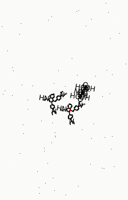 CCNc1cc(-c2ccc(N(CC)CC)cc2)c(C=C2C=CC(=[N+](CC)CC)C=C2)c2ccccc12.CCNc1cc(-c2ccc(N(CC)CC)cc2)c(C=C2C=CC(=[N+](CC)CC)C=C2)c2ccccc12.O=P(O)(O)O.[O]=[Mo](=[O])([O-])[O-].[O]=[W](=[O])([OH])[OH]